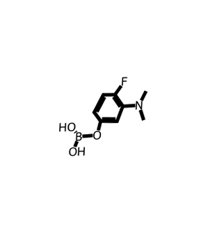 CN(C)c1cc(OB(O)O)ccc1F